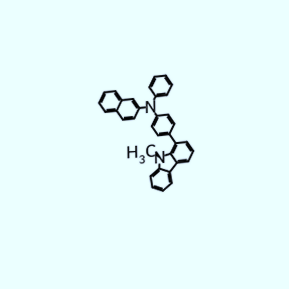 Cn1c2ccccc2c2cccc(-c3ccc(N(c4ccccc4)c4ccc5ccccc5c4)cc3)c21